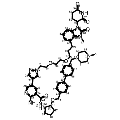 CN1CCN(Cc2ccc(-c3ccc(CO[C@H]4CCC[C@@H]4NC(=O)c4cc(-c5cnn(CCOCCOCCCc6cccc7c6n(C)c(=O)n7C6CCC(=O)NC6=O)c5)cnc4N)cc3)cc2)CC1